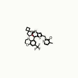 Cc1ccnn(Cc2cc3nccc(-c4cc(C(F)(F)F)cc5c4N([C@H]4CNC6(CCC6)C4)CCO5)c3s2)c1=O